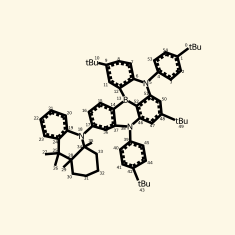 CC(C)(C)c1ccc(N2c3ccc(C(C)(C)C)cc3B3c4ccc(N5c6ccccc6C(C)(C)C6(C)CCCCC56C)cc4N(c4ccc(C(C)(C)C)cc4)c4cc(C(C)(C)C)cc2c43)cc1